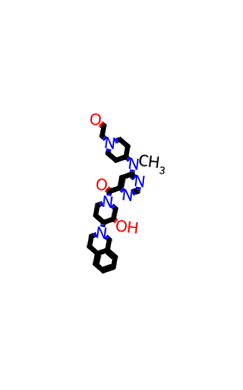 CN(c1cc(C(=O)N2CCC(N3CCc4ccccc4C3)C(O)C2)ncn1)C1CCN(CC=O)CC1